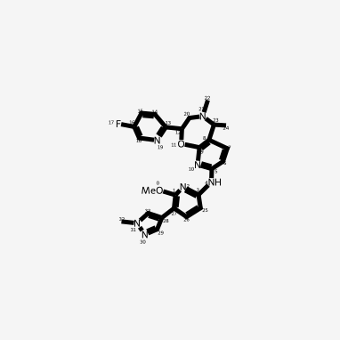 COc1nc(Nc2ccc3c(n2)OC(c2ccc(F)cn2)CN(C)C3C)ccc1-c1cnn(C)c1